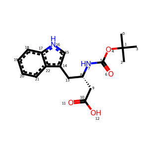 CC(C)(C)OC(=O)N[C@H](CC(=O)O)Cc1c[nH]c2ccccc12